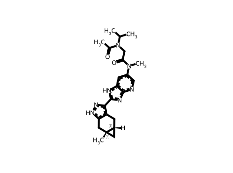 CC(=O)N(CC(=O)N(C)c1cnc2nc(-c3n[nH]c4c3C[C@@H]3C[C@]3(C)C4)[nH]c2c1)C(C)C